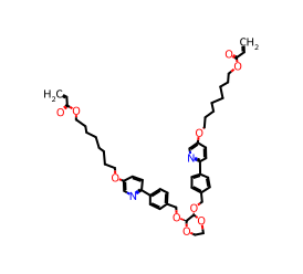 C=CC(=O)OCCCCCCCCOc1ccc(-c2ccc(CO[C@@H]3OCCO[C@H]3OCc3ccc(-c4ccc(OCCCCCCCCOC(=O)C=C)cn4)cc3)cc2)nc1